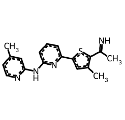 CC(=N)c1sc(-c2cccc(Nc3cc(C)ccn3)n2)cc1C